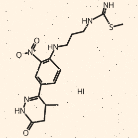 CSC(=N)NCCCNc1ccc(C2=NNC(=O)CC2C)cc1[N+](=O)[O-].I